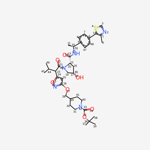 Cc1ncsc1-c1ccc([C@H](C)NC(=O)[C@@H]2C[C@@H](O)CN2C(=O)C(c2cc(OCC3CCN(C(=O)OC(C)(C)C)CC3)no2)C(C)C)cc1